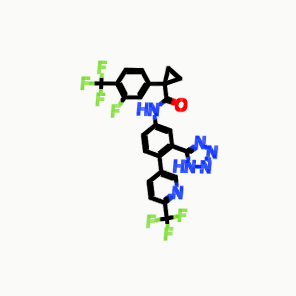 O=C(Nc1ccc(-c2ccc(C(F)(F)F)nc2)c(-c2nnn[nH]2)c1)C1(c2ccc(C(F)(F)F)c(F)c2)CC1